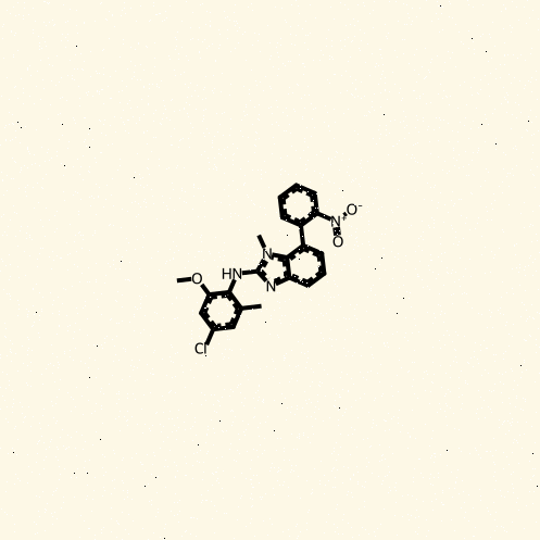 COc1cc(Cl)cc(C)c1Nc1nc2cccc(-c3ccccc3[N+](=O)[O-])c2n1C